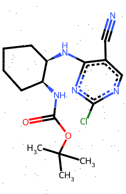 CC(C)(C)OC(=O)N[C@H]1CCCC[C@H]1Nc1nc(Cl)ncc1C#N